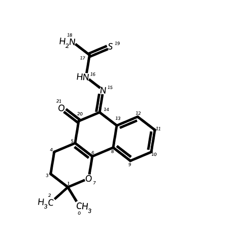 CC1(C)CCC2=C(O1)c1ccccc1C(=NNC(N)=S)C2=O